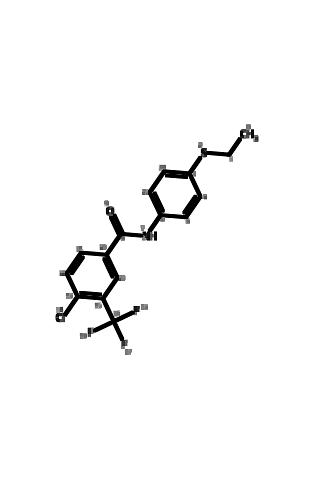 CCSc1ccc(NC(=O)c2ccc(Cl)c(C(F)(F)F)c2)cc1